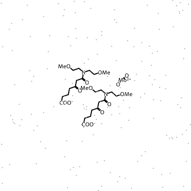 COCCN(CCOC)C(=O)CC(=O)CCCC(=O)[O-].COCCN(CCOC)C(=O)CC(=O)CCCC(=O)[O-].[O]=[Mo+2]=[O]